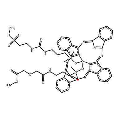 C[Si](C)(CCCNC(=O)COCC(=O)ON)O[Si]1(O[Si](C)(C)CCCNC(=O)NCCS(=O)(=O)ON)n2c3c4ccccc4c2/N=C2N=C(/N=c4/c5ccccc5/c(n41)=N/C1=NC(=N\3)/c3ccccc31)c1ccccc1\2